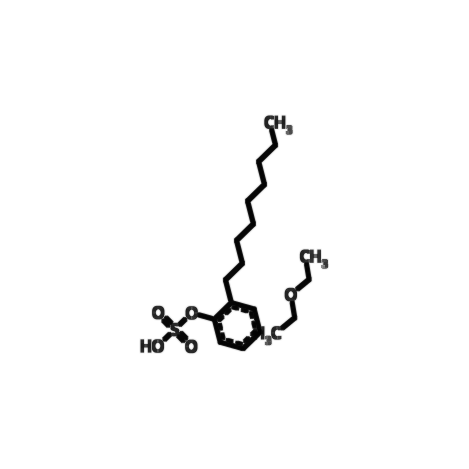 CCCCCCCCCc1ccccc1OS(=O)(=O)O.CCOCC